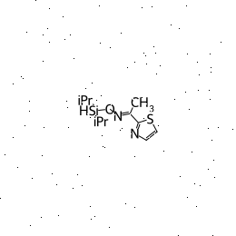 CC(=NO[SiH](C(C)C)C(C)C)c1nccs1